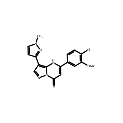 COc1cc(-c2cc(=O)n3ncc(-c4ccn(C)n4)c3[nH]2)ccc1Cl